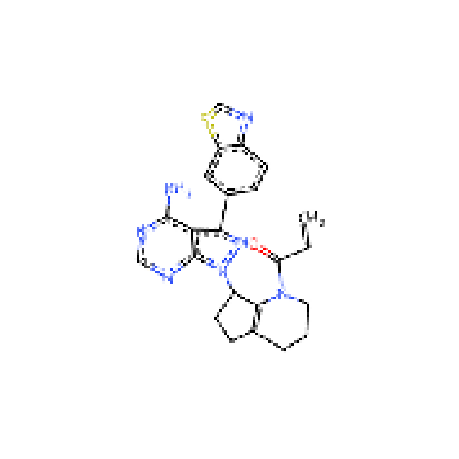 C=CC(=O)N1CCCC2=C1C(n1nc(-c3ccc4ncsc4c3)c3c(N)ncnc31)CC2